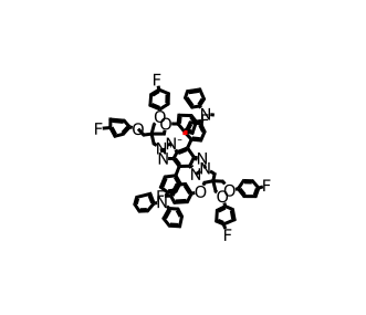 CN(c1ccccc1)c1ccc(-c2c3nn(CC(COc4ccc(F)cc4)(COc4ccc(F)cc4)COc4ccc(F)cc4)nc3c(-c3ccc(N(c4ccccc4)c4ccccc4)cc3)c3n[n+](CC(COc4ccc(F)cc4)(COc4ccc(F)cc4)COc4ccc(F)cc4)[n-]c23)cc1